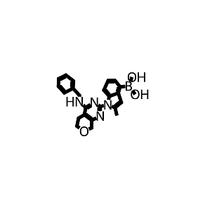 Cc1cc2c(B(O)O)cccc2n1-c1nc2c(c(NCc3ccccc3)n1)CCOC2